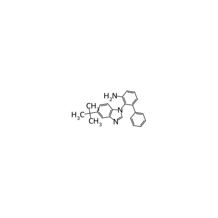 CC(C)(C)c1ccc2c(c1)ncn2-c1c(N)cccc1-c1ccccc1